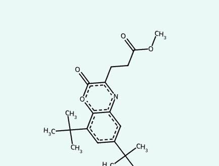 COC(=O)CCc1nc2cc(C(C)(C)C)cc(C(C)(C)C)c2oc1=O